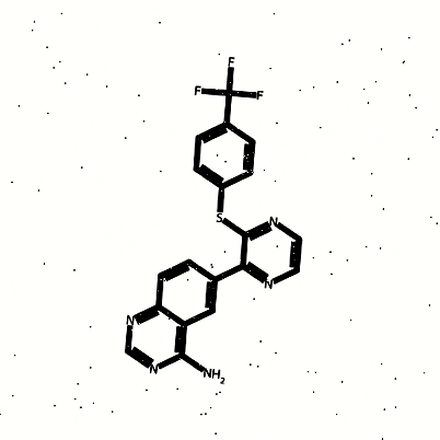 Nc1ncnc2ccc(-c3nccnc3Sc3ccc(C(F)(F)F)cc3)cc12